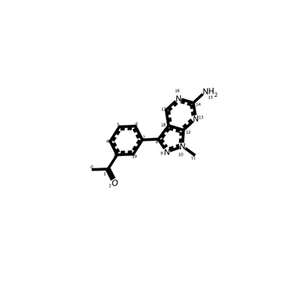 CC(=O)c1cccc(-c2nn(C)c3nc(N)ncc23)c1